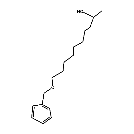 CC(O)CCCCCCCCOCc1ccccc1